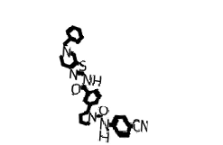 N#Cc1ccc(NC(=O)N2CCCC2c2cccc(C(=O)Nc3nc4c(s3)CN(Cc3ccccc3)CC4)c2)cc1